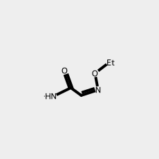 CCO/N=C\C([NH])=O